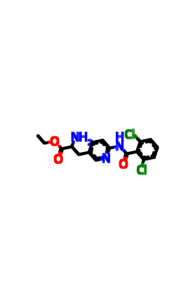 CCOC(=O)C(N)Cc1ccc(NC(=O)c2c(Cl)cccc2Cl)nc1